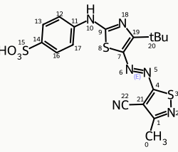 Cc1nsc(/N=N/c2sc(Nc3ccc(S(=O)(=O)O)cc3)nc2C(C)(C)C)c1C#N